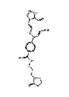 C=CC1NN=CC1/C=C/NC(/C=C/CCCC)c1ccc(C(=N)NOCCN2CCCC2=O)cc1